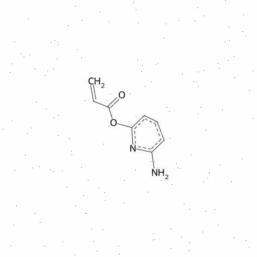 C=CC(=O)Oc1cccc(N)n1